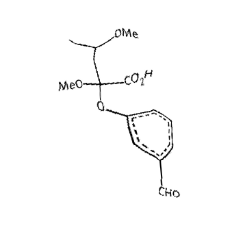 COC(C)C(OC)(Oc1cccc(C=O)c1)C(=O)O